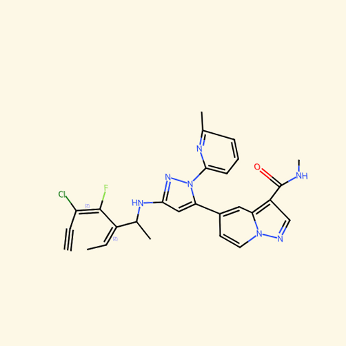 C#C/C(Cl)=C(F)\C(=C/C)C(C)Nc1cc(-c2ccn3ncc(C(=O)NC)c3c2)n(-c2cccc(C)n2)n1